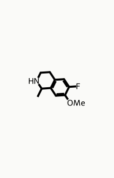 COc1cc2c(cc1F)CCNC2C